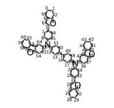 c1ccc2oc(-c3ccc(N(c4ccc(-c5ccc(N(c6ccc(-c7cc8ccccc8o7)cc6)c6ccc7oc8ccccc8c7c6)cc5)cc4)c4ccc5oc6ccccc6c5c4)cc3)cc2c1